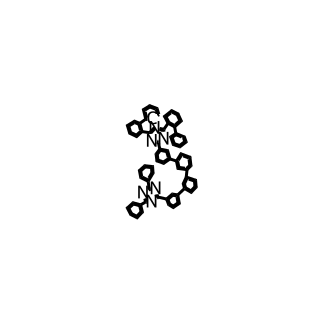 c1ccc(-c2nc(-c3ccccc3)nc(-c3cccc(-c4cccc(-c5cccc(-c6cccc(-c7nc(-c8ccccc8-c8ccccc8)nc(-c8ccccc8-c8ccccc8)n7)c6)c5)c4)c3)n2)cc1